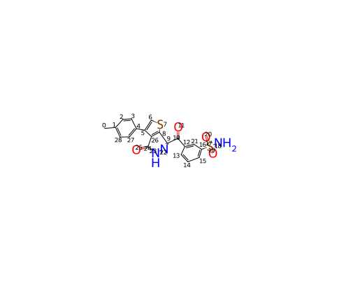 Cc1ccc(-c2csc3c(C(=O)c4cccc(S(N)(=O)=O)c4)n[nH]c(=O)c23)cc1